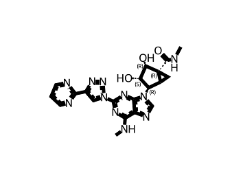 CNC(=O)[C@]12CC1[C@@H](n1cnc3c(NC)nc(-n4cc(-c5ncccn5)nn4)nc31)[C@H](O)[C@@H]2O